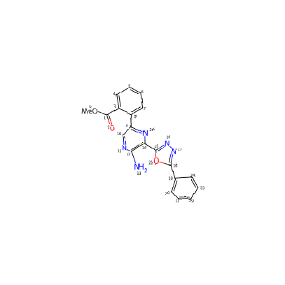 COC(=O)c1ccccc1-c1cnc(N)c(-c2nnc(-c3ccccc3)o2)n1